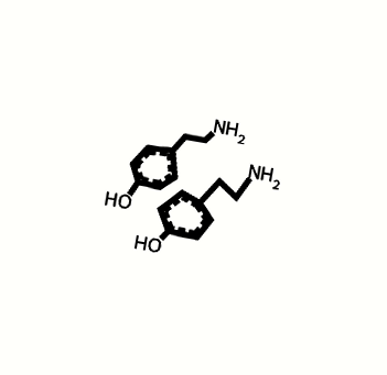 NCCc1ccc(O)cc1.NCCc1ccc(O)cc1